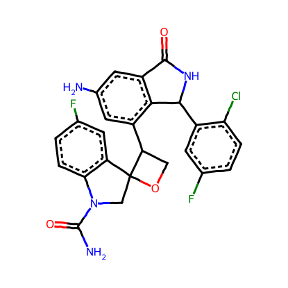 NC(=O)N1CC2(OCC2c2cc(N)cc3c2C(c2cc(F)ccc2Cl)NC3=O)c2cc(F)ccc21